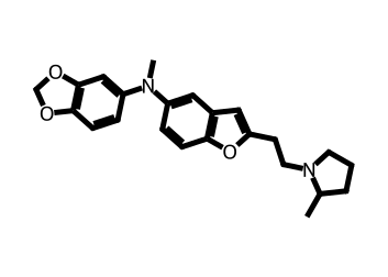 CC1CCCN1CCc1cc2cc(N(C)c3ccc4c(c3)OCO4)ccc2o1